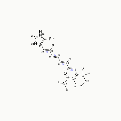 CC(/C=C/C1=C(C(=O)N(C)C)CCCC1(C)C)=C\C=C\C(C)=C\c1nn[nH]c1F